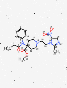 CCC(=O)N(c1ccccc1)C1(C(=O)OC)CCN(CCn2c([N+](=O)[O-])cnc2C)CC1